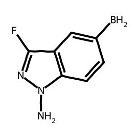 Bc1ccc2c(c1)c(F)nn2N